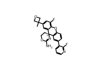 CC1(c2cc(F)c3c(c2)[C@]2(CCOC(N)=N2)c2cc(-c4cccnc4F)ccc2O3)COC1